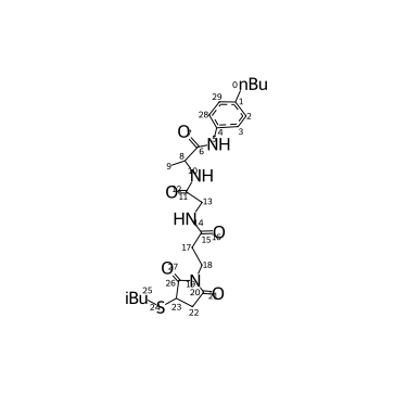 CCCCc1ccc(NC(=O)C(C)NC(=O)CNC(=O)CCN2C(=O)CC(SC(C)CC)C2=O)cc1